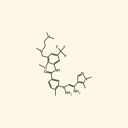 COc1c(CN(C)CCN(C)C)cc(C(F)(F)F)cc1NC(=O)c1ccc(C)c(N(N)/C=C(\N)c2cnn(C)c2C)c1